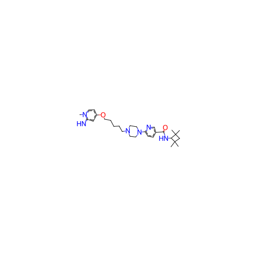 Cn1ccc(OCCCCCN2CCN(c3ccc(C(=O)NC4C(C)(C)CC4(C)C)cn3)CC2)cc1=N